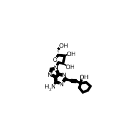 Nc1nc(C#CC2(O)CCCCC2)nc2c1ncn2C1O[C@H](CO)[C@@H](O)[C@H]1O